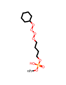 CCCOP(=O)(O)OCCCCOOOOC1CCCCC1